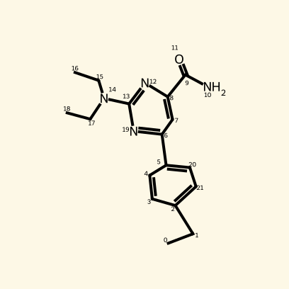 CCc1ccc(-c2cc(C(N)=O)nc(N(CC)CC)n2)cc1